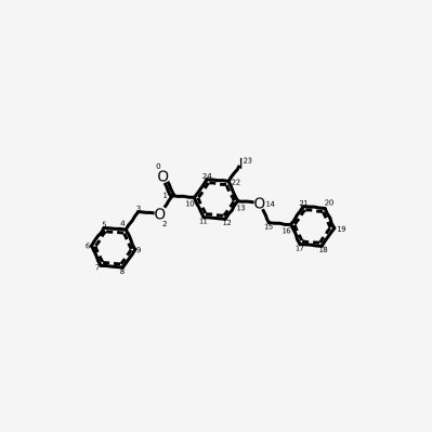 O=C(OCc1ccccc1)c1ccc(OCc2ccccc2)c(I)c1